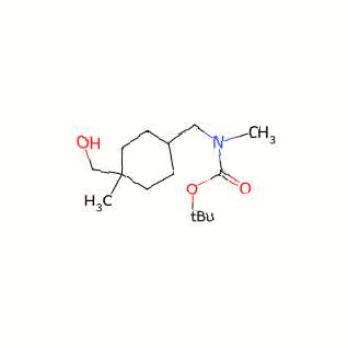 CN(CC1CCC(C)(CO)CC1)C(=O)OC(C)(C)C